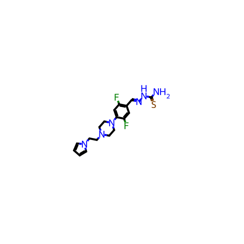 NC(=S)NN=Cc1cc(F)c(N2CCN(CCn3cccc3)CC2)cc1F